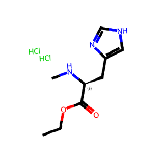 CCOC(=O)[C@H](Cc1c[nH]cn1)NC.Cl.Cl